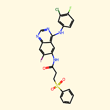 O=C(CCS(=O)(=O)c1ccccc1)Nc1cc2c(Nc3ccc(F)c(Cl)c3)ncnc2cc1I